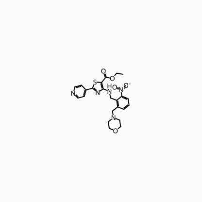 CCOC(=O)c1sc(-c2ccncc2)nc1NCc1c(CN2CCOCC2)cccc1[N+](=O)[O-]